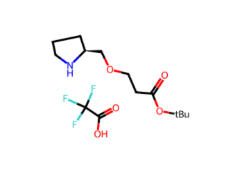 CC(C)(C)OC(=O)CCOC[C@@H]1CCCN1.O=C(O)C(F)(F)F